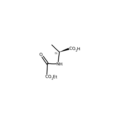 CCOC(=O)C(=O)N[C@@H](C)C(=O)O